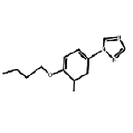 CCCCOC1=CC=C(n2cncn2)CC1C